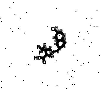 O=C(O)c1nn(Cc2ccc3ncc(Cl)cc3c2)cc1C(F)(F)F